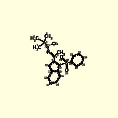 CC(=N[S@+]([O-])C(C)(C)C)c1cc2cnccc2n1S(=O)(=O)c1ccccc1